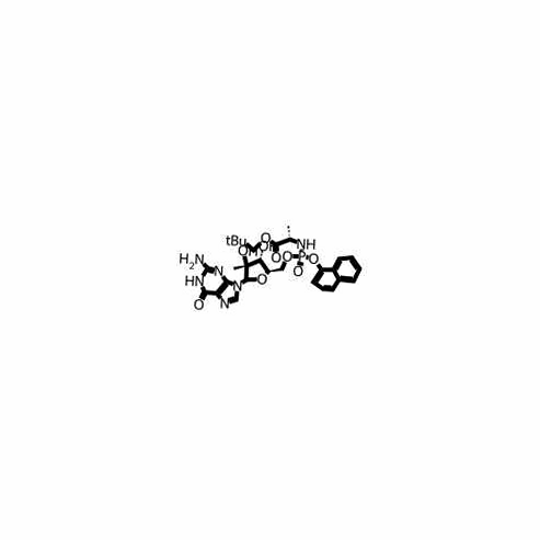 C[C@H](NP(=O)(OC[C@H]1OC(n2cnc3c(=O)[nH]c(N)nc32)[C@](C)(O)[C@@H]1O)Oc1cccc2ccccc12)C(=O)OCC(C)(C)C